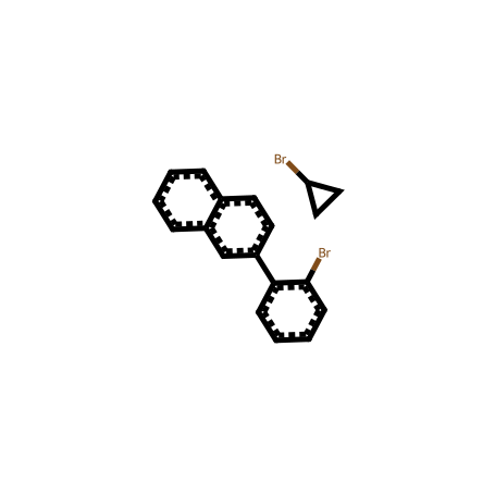 BrC1CC1.Brc1ccccc1-c1ccc2ccccc2c1